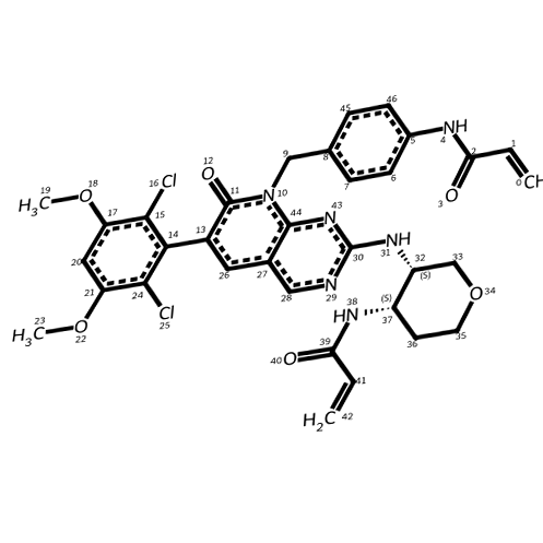 C=CC(=O)Nc1ccc(Cn2c(=O)c(-c3c(Cl)c(OC)cc(OC)c3Cl)cc3cnc(N[C@@H]4COCC[C@@H]4NC(=O)C=C)nc32)cc1